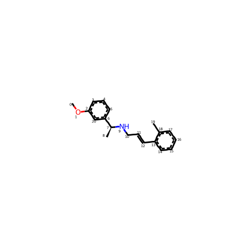 COc1cccc([C@H](C)NC/C=C/c2ccccc2C)c1